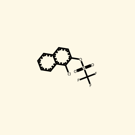 O=S(=O)(Oc1ccc2ccccc2c1Cl)C(F)(F)F